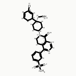 CS(=O)(=O)c1cccc(-c2ncnc3c2CCN([C@H]2CC[C@](CN)(C4C=C(Cl)C=CC4)CC2)C3=O)c1